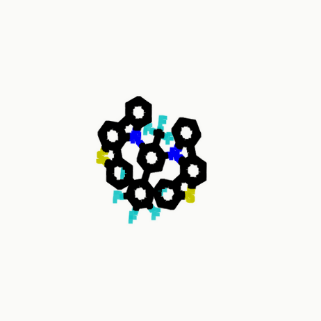 Fc1c(F)c(F)c(-c2cc(-n3c4ccccc4c4ccc5sc6ccccc6c5c43)c(C(F)(F)F)c(-n3c4ccccc4c4ccc5sc6ccccc6c5c43)c2)c(F)c1F